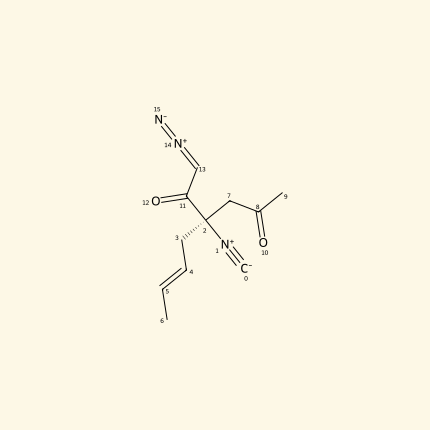 [C-]#[N+][C@](C/C=C/C)(CC(C)=O)C(=O)C=[N+]=[N-]